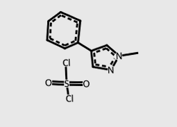 Cn1cc(-c2ccccc2)cn1.O=S(=O)(Cl)Cl